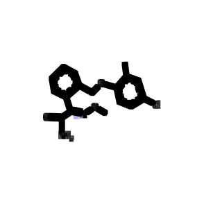 CO/N=C(/C(N)=O)c1ccccc1COc1ccc(Cl)cc1C